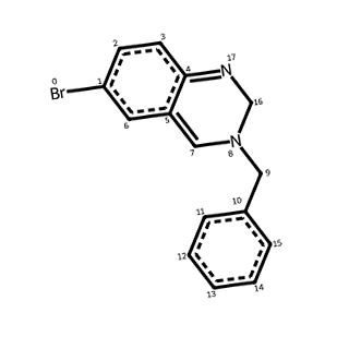 Brc1ccc2c(c1)=CN(Cc1ccccc1)CN=2